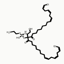 CC/C=C\C/C=C\C/C=C\CCCCCCCC(=O)C(OP(=O)(O)OCCN)(C(=O)CCCCCCC/C=C\C/C=C\C/C=C\CC)[C@@H](O)CO